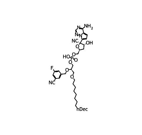 CCCCCCCCCCCCCCCCCCOC[C@H](COP(=O)(O)OC[C@@H]1C[C@@H](O)[C@](C#N)(c2ccc3c(N)ncnn23)O1)OCc1cc(F)cc(C#N)c1